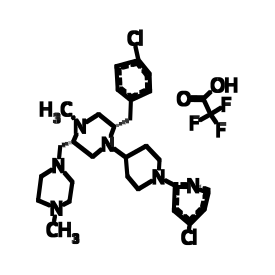 CN1CCN(C[C@H]2CN(C3CCN(c4cc(Cl)ccn4)CC3)[C@@H](Cc3ccc(Cl)cc3)CN2C)CC1.O=C(O)C(F)(F)F